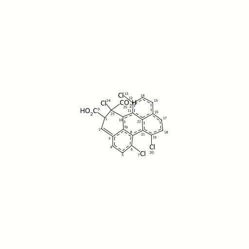 O=C(O)C1C=c2ccc(Cl)c3c2c(c2c(Cl)ccc4ccc(Cl)c3c42)C1(Cl)C(=O)O